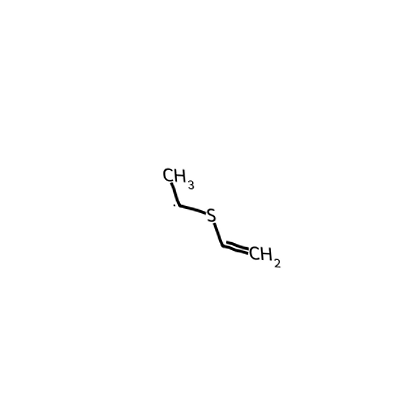 C=CS[CH]C